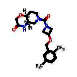 Cc1ccc(C(F)(F)F)cc1COC1CN(C(=O)N2CC[C@@H]3OCC(=O)N[C@@H]3C2)C1